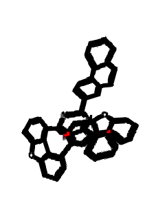 c1ccc(-c2nc(-c3ccc4c(ccc5ccccc54)c3)nc(-c3cccc4oc5cccc(-c6ccc7oc8ccccc8c7c6)c5c34)n2)cc1